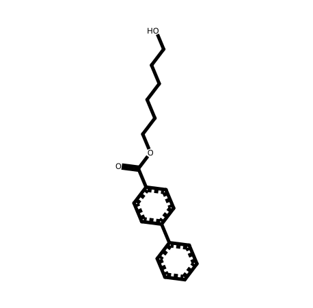 O=C(OCCCCCCO)c1ccc(-c2ccccc2)cc1